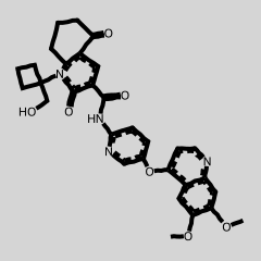 COc1cc2nccc(Oc3ccc(NC(=O)c4cc5c(n(C6(CO)CCC6)c4=O)CCCC5=O)nc3)c2cc1OC